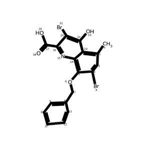 Cc1cc(Br)c(OCc2ccccc2)c2nc(C(=O)O)c(Br)c(O)c12